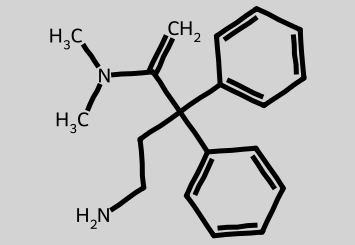 C=C(N(C)C)C(CCN)(c1ccccc1)c1ccccc1